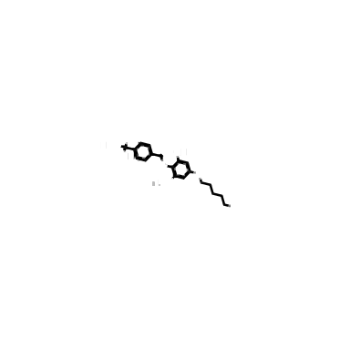 CCCCCCOc1cc(C)c(PC(=O)c2ccc(C(C)(C)C)cc2)c(C)c1.[LiH]